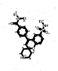 CCNS(=O)(=O)c1ccc2c(c1)C(c1ccc(C(=O)N(CC)CC)cc1)=CC1(CCNCC1)O2